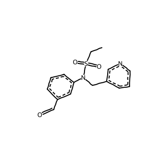 CCS(=O)(=O)N(Cc1cccnc1)c1cccc(C=O)c1